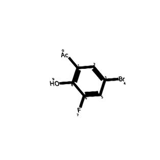 CC(=O)c1cc(Br)cc(F)c1O